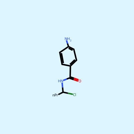 CCCC(Cl)NC(=O)c1ccc(N)cc1